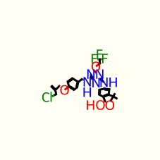 C=C(CCl)COc1ccc(CNc2nc(Nc3ccc(C(=O)O)c(C(C)(C)C)c3)nc(OCC(F)(F)F)n2)cc1